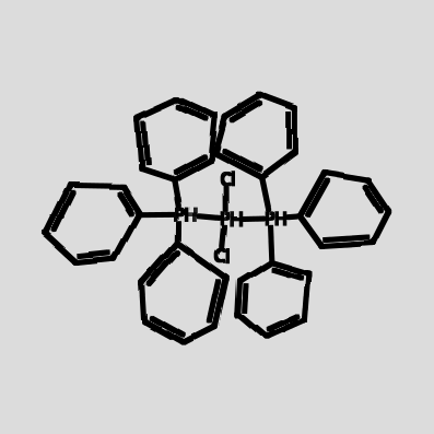 Cl[PH](Cl)([PH](c1ccccc1)(c1ccccc1)c1ccccc1)[PH](c1ccccc1)(c1ccccc1)c1ccccc1